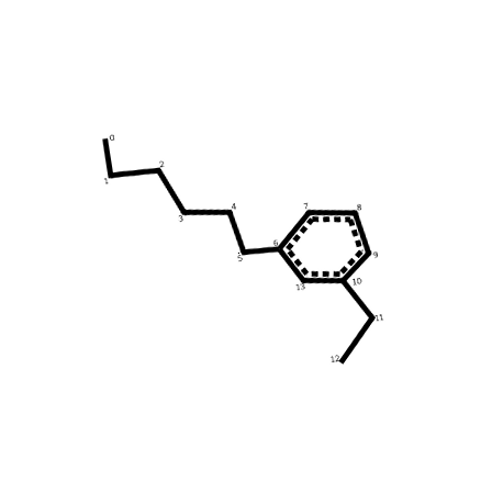 CCCCC[CH]c1cccc(CC)c1